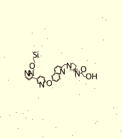 CN(C(=O)CO)[C@@H]1CCN(Cc2ccc3cc(Oc4ccc(-c5ccnn5COCC[Si](C)(C)C)cn4)ccc3n2)C1